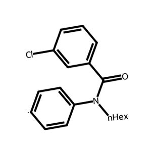 CCCCCCN(C(=O)c1cccc(Cl)c1)c1cc[c]cc1